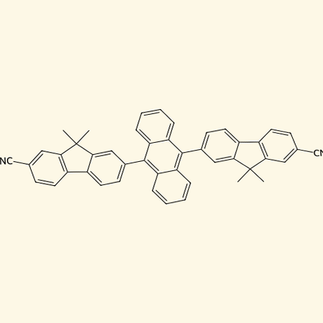 CC1(C)c2cc(C#N)ccc2-c2ccc(-c3c4ccccc4c(-c4ccc5c(c4)C(C)(C)c4cc(C#N)ccc4-5)c4ccccc34)cc21